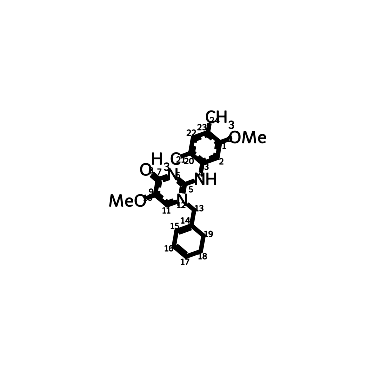 COc1cc(Nc2nc(=O)c(OC)cn2CC2=CC=CCC2)c(C)cc1C